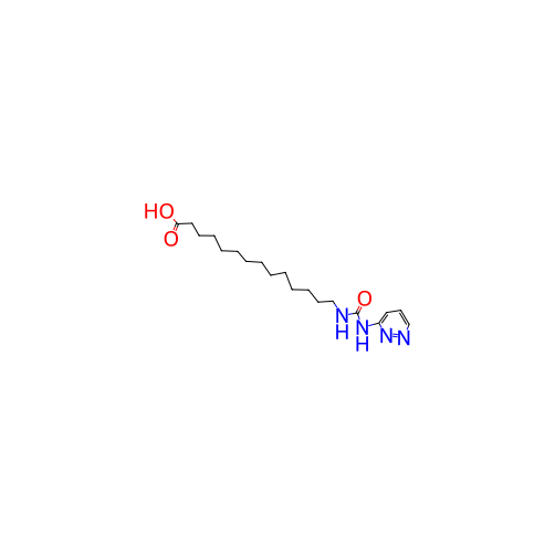 O=C(O)CCCCCCCCCCCCCNC(=O)Nc1cccnn1